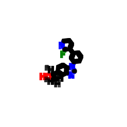 [2H]C([2H])([2H])[C@@]([2H])(O)c1ccc2c(c1)ncn2-c1cccc(-c2cccnc2F)c1